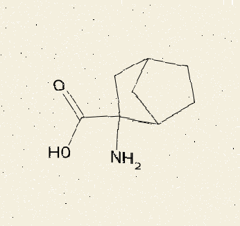 NC1(C(=O)O)CC2CCC1C2